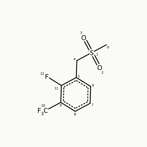 CS(=O)(=O)Cc1cccc(C(F)(F)F)c1F